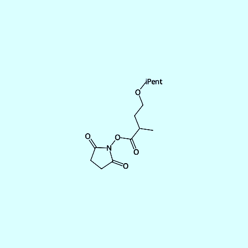 CCCC(C)OCCC(C)C(=O)ON1C(=O)CCC1=O